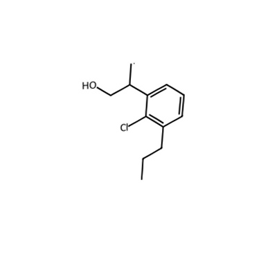 [CH2]C(CO)c1cccc(CCC)c1Cl